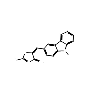 CCn1c2ccccc2c2cc(/C=C3/SC(N)=NC3=O)ccc21